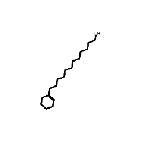 OCCCCCCCCCCCCC1=CCCCC1